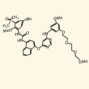 COCCOCCOCCOc1cc(Nc2cc(Oc3ccc(NC(=O)Nc4cc(C(C)(C)C)cc(P(C)(C)=O)c4OC)c4ccccc34)ncn2)cc(OC)c1